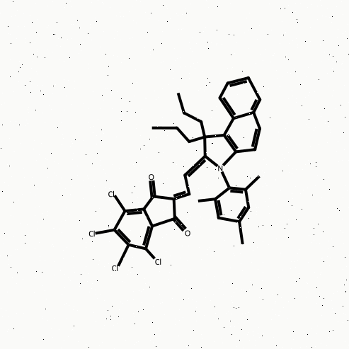 CCCC1(CCC)/C(=C/C=C2C(=O)c3c(Cl)c(Cl)c(Cl)c(Cl)c3C2=O)N(c2c(C)cc(C)cc2C)c2ccc3ccccc3c21